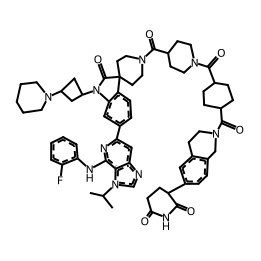 CC(C)n1cnc2cc(-c3ccc4c(c3)N(C3CC(N5CCCCC5)C3)C(=O)C43CCN(C(=O)C4CCN(C(=O)C5CCC(C(=O)N6CCc7cc(C8CCC(=O)NC8=O)ccc7C6)CC5)CC4)CC3)nc(Nc3ccccc3F)c21